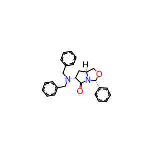 O=C1[C@H](N(Cc2ccccc2)Cc2ccccc2)C[C@H]2CO[C@H](c3ccccc3)N12